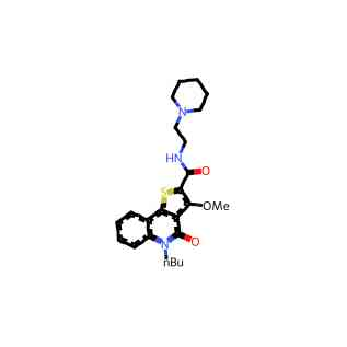 CCCCn1c(=O)c2c(OC)c(C(=O)NCCN3CCCCC3)sc2c2ccccc21